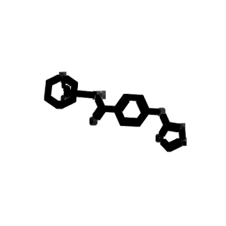 O=C(NC1CC2CCN(CC2)C1)c1ccc(Oc2nnco2)cc1